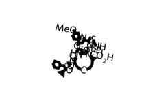 COc1ccc2c(O[C@@H]3C[C@H]4C(=O)N[C@]5(C(=O)O)CC5CCCCCCC[C@H](NC(=O)C[C@H](C(=O)C5CC5)C5CCCCC5)C(=O)N4C3)cc(-c3csc(NC(C)C)n3)nc2c1